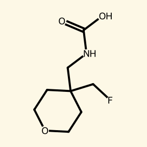 O=C(O)NCC1(CF)CCOCC1